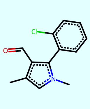 Cc1cn(C)c(-c2ccccc2Cl)c1C=O